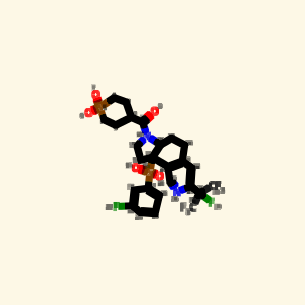 O=C(C1CCS(=O)(=O)CC1)N1CCC2(S(=O)(=O)c3cccc(F)c3)c3cnc(C(F)(C(F)(F)F)C(F)(F)F)cc3CCC12